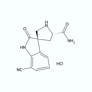 Cl.N#Cc1cccc2c1NC(=O)[C@@]21CN[C@H](C(N)=O)C1